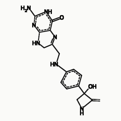 C=C1NCC1(O)c1ccc(NCC2=Nc3c(nc(N)[nH]c3=O)NC2)cc1